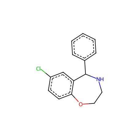 Clc1ccc2c(c1)C(c1ccccc1)NCCO2